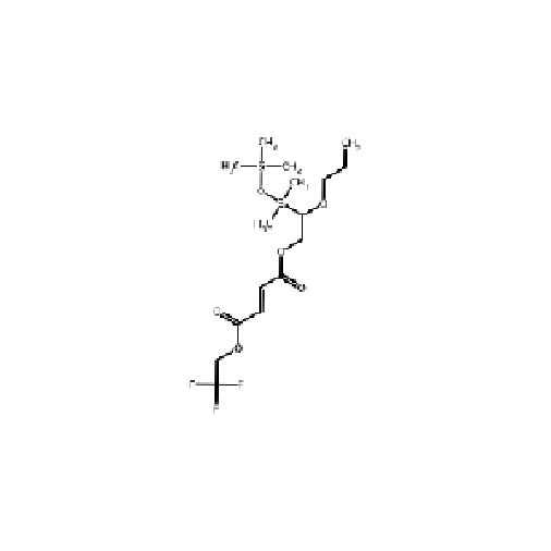 CCCOC(COC(=O)C=CC(=O)OCC(F)(F)F)[Si](C)(C)O[Si](C)(C)C